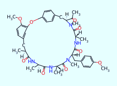 COc1ccc(C[C@H]2C(=O)N[C@@H](C)C(=O)N(C)[C@H](C(C)=O)Cc3ccc(cc3)Oc3cc(ccc3OC)C[C@H](C)C(=O)N[C@H](C)C(=O)N[C@@H](C)C(=O)N2C)cc1